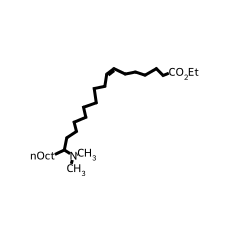 CCCCCCCCC(CCCCCCCC/C=C\CCCCCC(=O)OCC)N(C)C